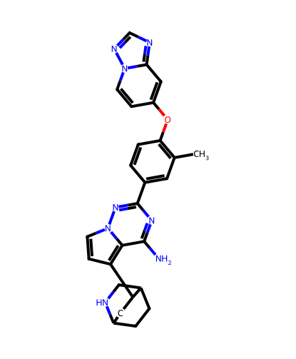 Cc1cc(-c2nc(N)c3c(C4CC5CCC4CN5)ccn3n2)ccc1Oc1ccn2ncnc2c1